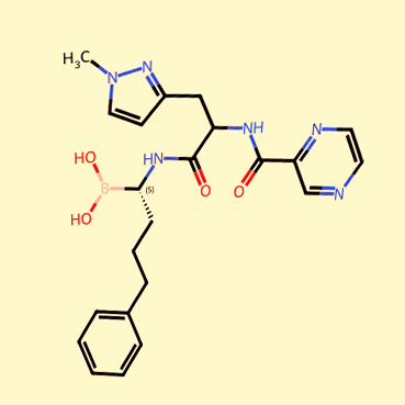 Cn1ccc(CC(NC(=O)c2cnccn2)C(=O)N[C@H](CCCc2ccccc2)B(O)O)n1